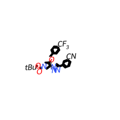 CC(C)(C)OC(=O)N1C[C@@H](n2cc(-c3cccc(C#N)c3)nn2)[C@H](OCc2ccc(C(F)(F)F)cc2)C1